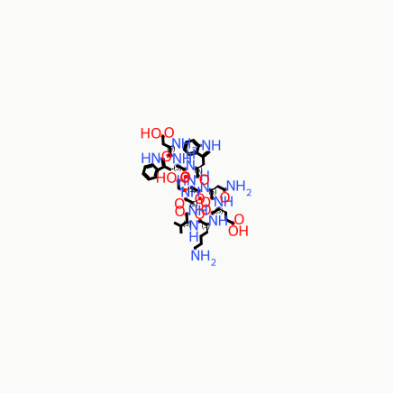 CC(C)[C@H](NC(=O)[C@H](CCCCN)NC(=O)[C@H](CCC(=O)O)NC(=O)[C@H](CC(N)=O)NC(=O)[C@H](C)NC(=O)[C@H](Cc1c[nH]c2ccccc12)NC(=O)[C@H](Cc1c[nH]c2ccccc12)NC(=O)[C@@H](N)CC(=O)O)C(=O)N[C@@H](C)C(=O)NCC(=O)O